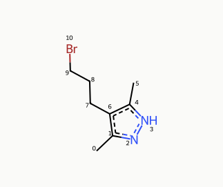 Cc1n[nH]c(C)c1CCCBr